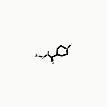 CC(C)(C)ONC(=O)C1CCN(F)CC1